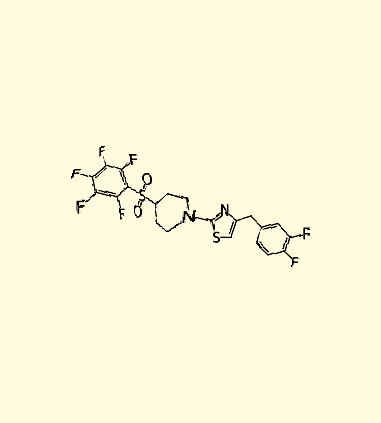 O=S(=O)(c1c(F)c(F)c(F)c(F)c1F)C1CCN(c2nc(Cc3ccc(F)c(F)c3)cs2)CC1